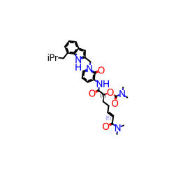 CC(C)Cc1cccc2cc(Cn3cccc(NC(=O)[C@H](CC/C=C/C(=O)N(C)C)OC(=O)N(C)C)c3=O)[nH]c12